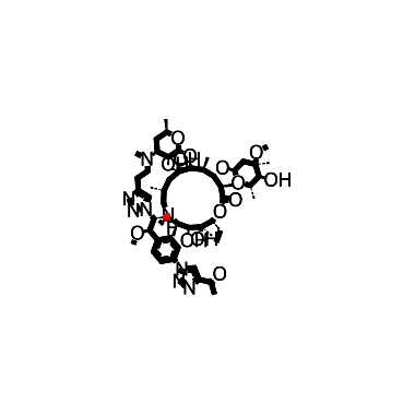 CC[C@H]1OC(=O)[C@H](C)[C@@H](O[C@H]2C[C@@](C)(OC)[C@@H](O)[C@H](C)O2)[C@H](C)[C@@H](O[C@@H]2O[C@H](C)C[C@H](N(C)CCc3cn([C@H](CF)[C@H](OC)c4ccc(-n5cc(C(C)=O)nn5)cc4)nn3)[C@H]2O)[C@](C)(O)C[C@@H](C)CN(C)[C@H](C)[C@@H](O)[C@]1(C)O